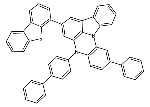 c1ccc(-c2ccc(N3c4ccc(-c5ccccc5)cc4B4c5ccccc5-c5cc(-c6cccc7c6sc6ccccc67)cc3c54)cc2)cc1